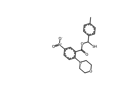 Cc1ccc(C(S)OC(=O)c2cc([N+](=O)[O-])ccc2N2CCOCC2)cc1